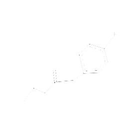 O=CCCC(=O)Cc1ccc(F)cc1